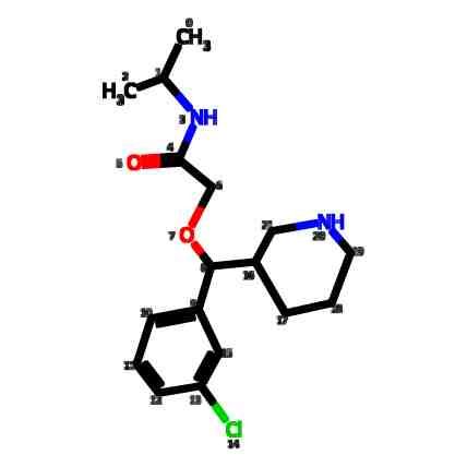 CC(C)NC(=O)COC(c1cccc(Cl)c1)C1CCCNC1